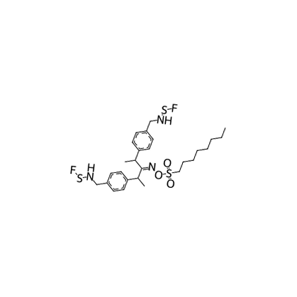 CCCCCCCCS(=O)(=O)ON=C(C(C)c1ccc(CNSF)cc1)C(C)c1ccc(CNSF)cc1